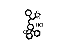 Cl.ClC1CC(CC(C=C2COC=N2)C2CCCCC2)CCC1(c1ccccc1)c1ccccc1